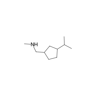 CNCC1CCC(C(C)C)C1